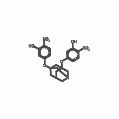 O=[N+]([O-])c1ccc(OC23CC4CN(C2)CC(Oc2ccc([N+](=O)[O-])c(O)c2)(C4)C3)cc1O